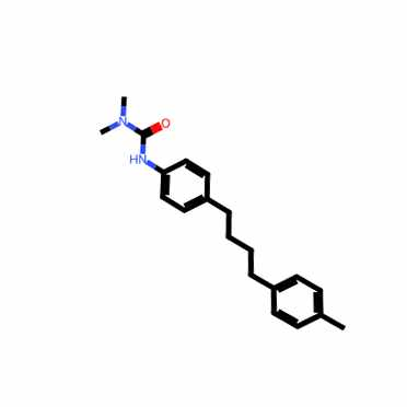 Cc1ccc(CCCCc2ccc(NC(=O)N(C)C)cc2)cc1